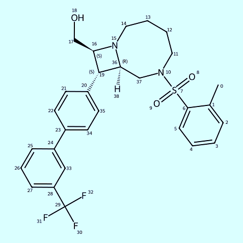 Cc1ccccc1S(=O)(=O)N1CCCCN2[C@H](CO)[C@@H](c3ccc(-c4cccc(C(F)(F)F)c4)cc3)[C@@H]2C1